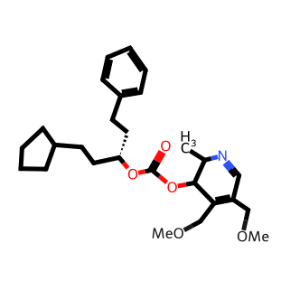 COCC1=C(COC)C(OC(=O)O[C@@H](CCc2ccccc2)CCC2CCCC2)C(C)N=C1